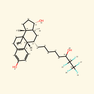 C=CC12CCc3cc(O)ccc3[C@H]1[C@@H](CCCCCC(O)C(F)(F)C(F)(F)F)C[C@]1(C)[C@@H](O)CC[C@@H]21